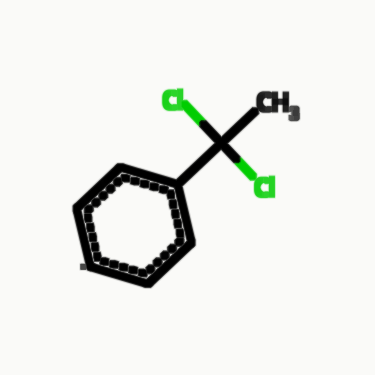 CC(Cl)(Cl)c1cc[c]cc1